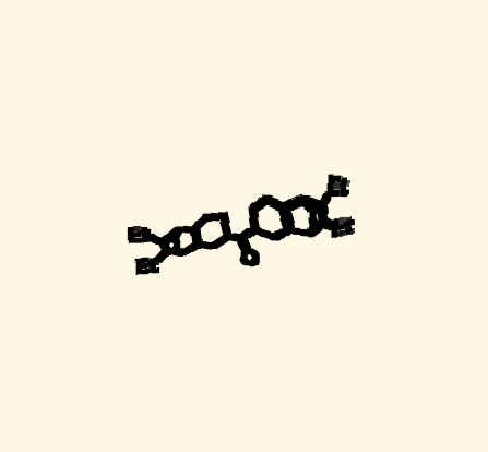 CCC1C2OC(C3=C2CCC(C(=O)C2CCC4=C(C2)C2OC4C(CC)C2CC)C3)C1CC